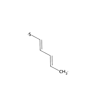 [CH2]C=CC=C[S]